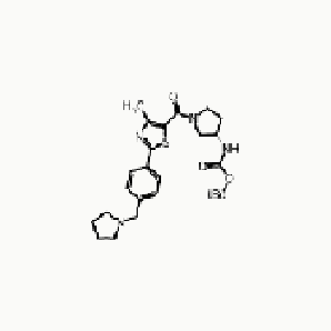 Cc1nc(-c2ccc(CN3CCCC3)cc2)sc1C(=O)N1CC[C@H](NC(=O)OC(C)(C)C)C1